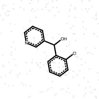 OC(c1cccnc1)c1ccccc1Cl